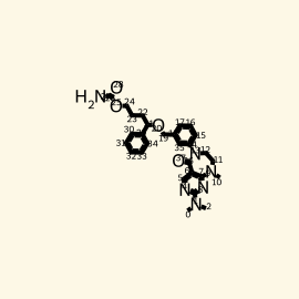 CN(C)c1ncc2c(n1)N(C)CCN(c1cccc(COC(CCCOC(N)=O)c3ccccc3)c1)C2=O